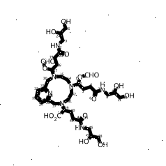 O=COC(CCC(=O)NCC(O)CO)N1CCN(C(CCC(=O)NCC(O)CO)OC=O)Cc2cccc(n2)CN(C(CCC(=O)NCC(O)CO)C(=O)O)CC1